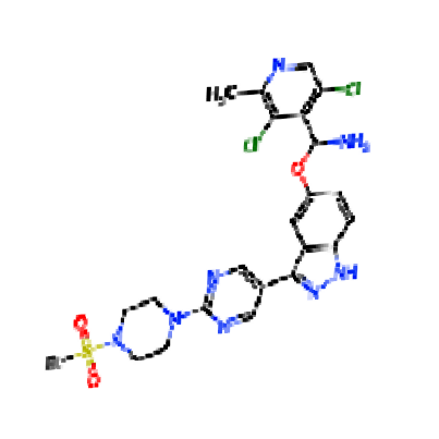 CCS(=O)(=O)N1CCN(c2ncc(-c3n[nH]c4ccc(O[C@H](N)c5c(Cl)cnc(C)c5Cl)cc34)cn2)CC1